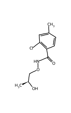 Cc1ccc(C(=O)NOC[C@H](C)O)c(Cl)c1